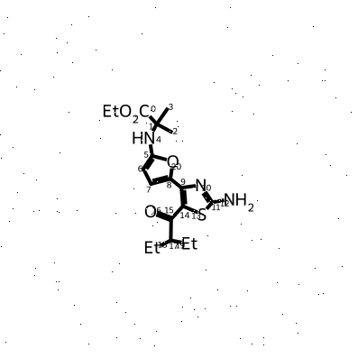 CCOC(=O)C(C)(C)Nc1ccc(-c2nc(N)sc2C(=O)C(CC)CC)o1